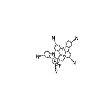 N#Cc1cc(-n2c3ccc(C#N)cc3c3cc(C#N)ccc32)c(-c2cccc(C(F)(F)F)c2)c(-n2c3ccc(C#N)cc3c3cc(C#N)ccc32)c1